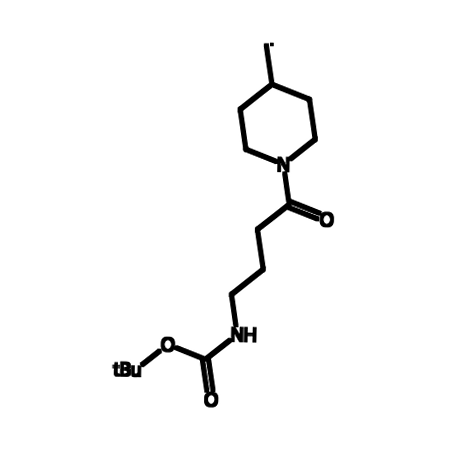 [CH2]C1CCN(C(=O)CCCNC(=O)OC(C)(C)C)CC1